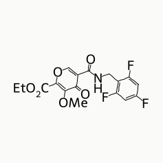 CCOC(=O)c1occ(C(=O)NCc2c(F)cc(F)cc2F)c(=O)c1OC